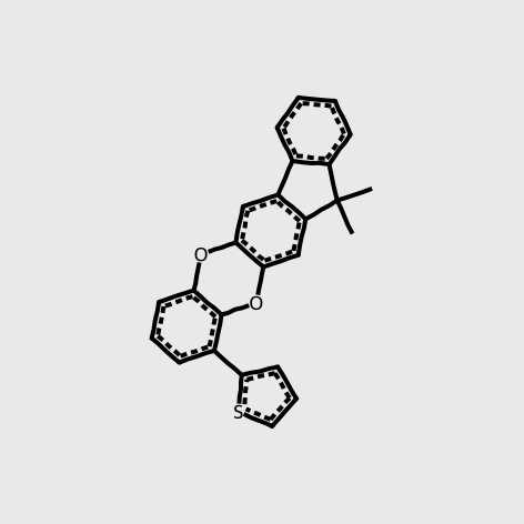 CC1(C)c2ccccc2-c2cc3c(cc21)Oc1c(cccc1-c1cccs1)O3